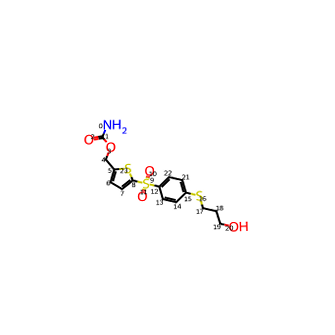 NC(=O)OCc1ccc(S(=O)(=O)c2ccc(SCCCO)cc2)s1